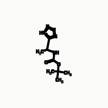 CC(NC(=O)OC(C)(C)C)c1nnn[nH]1